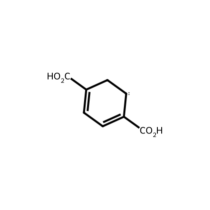 O=C(O)C1=CC=C(C(=O)O)C[C]1